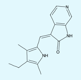 CCc1c(C)[nH]c(C=C2C(=O)Nc3cnccc32)c1C